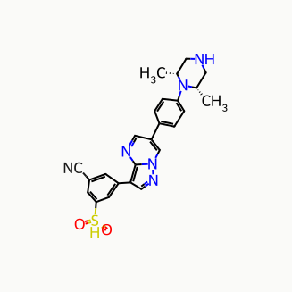 C[C@@H]1CNC[C@H](C)N1c1ccc(-c2cnc3c(-c4cc(C#N)cc([SH](=O)=O)c4)cnn3c2)cc1